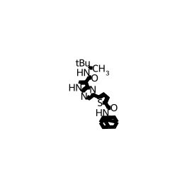 C[C@H](NC(=O)c1c[nH]c2ncc(-c3ccc(C(=O)NC45CC6CC(CC(C6)C4)C5)s3)nc12)C(C)(C)C